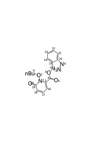 CCCCOn1c(C(=O)On2nnc3ccccc32)cccc1=O